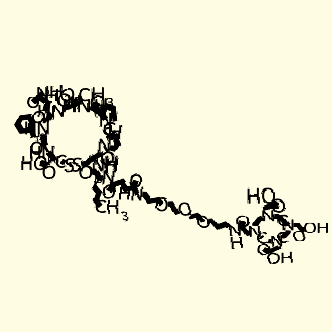 CCCC[C@H](NC(=O)CCC(=O)NCCCOCCOCCOCCCNC(=O)CN1CCN(CC(=O)O)CCN(CC(=O)O)CCN(CC(=O)O)CC1)C(=O)N[C@H]1CSSC[C@@H](C(=O)O)NC(=O)[C@H](Cc2ccccc2)NC(=O)[C@H](CCC(N)=O)NC(=O)[C@H]([C@@H](C)O)NC(=O)[C@@H]2CCCN2C[C@@H]2CCCN2C1=O